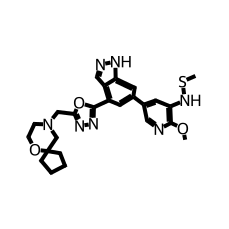 COc1ncc(-c2cc(-c3nnc(CN4CCOC5(CCCC5)C4)o3)c3cn[nH]c3c2)cc1NSC